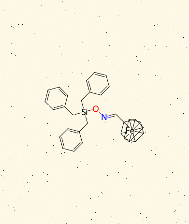 C(=NO[Si](Cc1ccccc1)(Cc1ccccc1)Cc1ccccc1)[C]12[CH]3[CH]4[CH]5[CH]1[Fe]45321678[CH]2[CH]1[CH]6[CH]7[CH]28